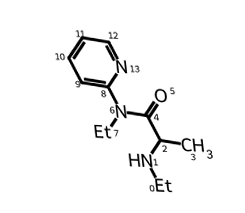 CCNC(C)C(=O)N(CC)c1ccccn1